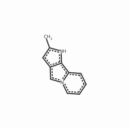 Cc1cc2cn3ccccc3c2[nH]1